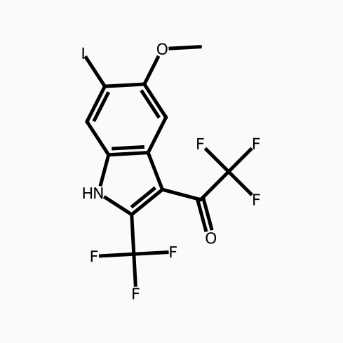 COc1cc2c(C(=O)C(F)(F)F)c(C(F)(F)F)[nH]c2cc1I